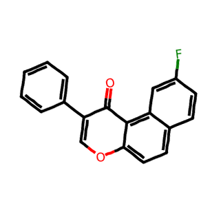 O=c1c(-c2ccccc2)coc2ccc3ccc(F)cc3c12